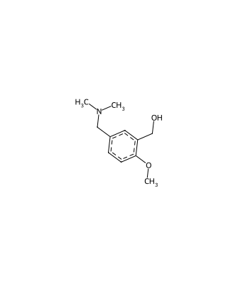 COc1ccc(CN(C)C)cc1CO